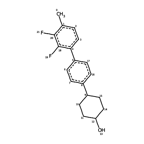 Cc1ccc(-c2ccc(C3CCC(O)CC3)cc2)c(F)c1F